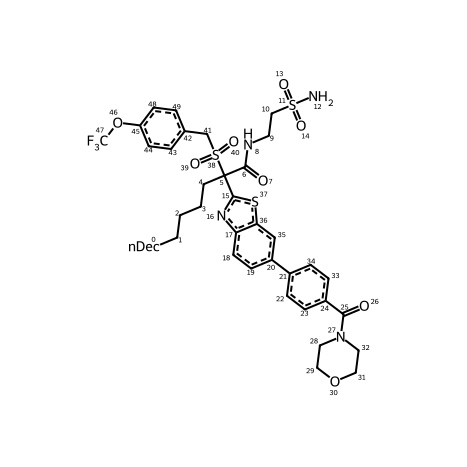 CCCCCCCCCCCCCCC(C(=O)NCCS(N)(=O)=O)(c1nc2ccc(-c3ccc(C(=O)N4CCOCC4)cc3)cc2s1)S(=O)(=O)Cc1ccc(OC(F)(F)F)cc1